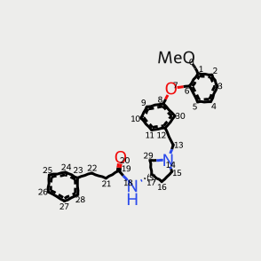 COc1ccccc1Oc1cccc(CN2CC[C@H](NC(=O)CCc3ccccc3)C2)c1